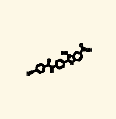 N#Cc1ccc(C(=O)Nc2ccc(-c3nc4ccc([N+](=O)O)cc4n3O)cc2)cc1